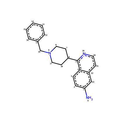 Nc1ccc2c(C3CCN(Cc4ccccc4)CC3)nccc2c1